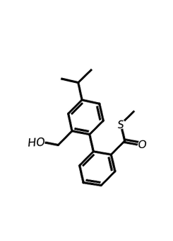 CSC(=O)c1ccccc1-c1ccc(C(C)C)cc1CO